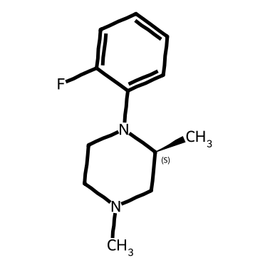 C[C@H]1CN(C)CCN1c1ccccc1F